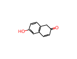 O=C1C=Cc2cc(O)ccc2C1